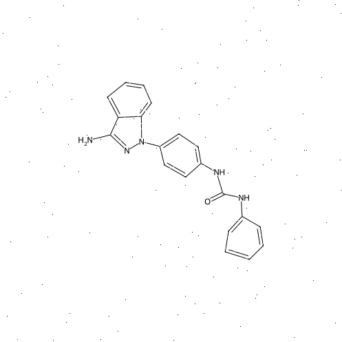 Nc1nn(-c2ccc(NC(=O)Nc3ccccc3)cc2)c2ccccc12